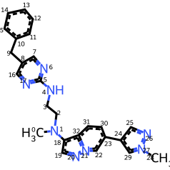 CN(CCNc1ncc(Cc2ccccc2)cn1)c1cnn2cc(-c3cnn(C)c3)ccc12